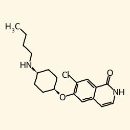 CCCCN[C@H]1CC[C@@H](Oc2cc3cc[nH]c(=O)c3cc2Cl)CC1